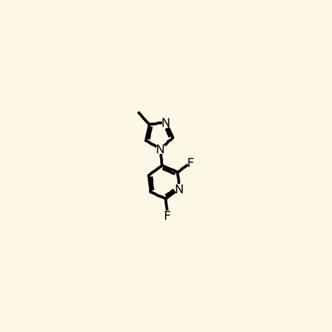 Cc1cn(-c2ccc(F)nc2F)cn1